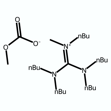 CCCCN(CCCC)C(N(CCCC)CCCC)=[N+](C)CCCC.COC(=O)[O-]